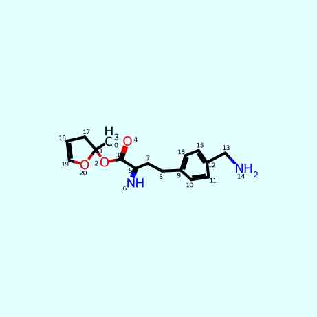 CC1(OC(=O)C(=N)CCc2ccc(CN)cc2)CC=CO1